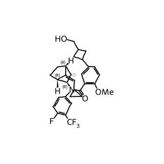 COc1ccc(C2CC(CO)C2)cc1C(=O)N(c1ccc(F)c(C(F)(F)F)c1)[C@@H]1C[C@H]2CC[C@@H]1/C2=C\C1CC1